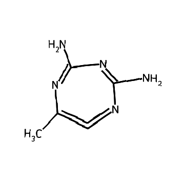 CC1=C=NC(N)=NC(N)=N1